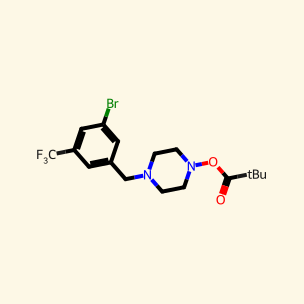 CC(C)(C)C(=O)ON1CCN(Cc2cc(Br)cc(C(F)(F)F)c2)CC1